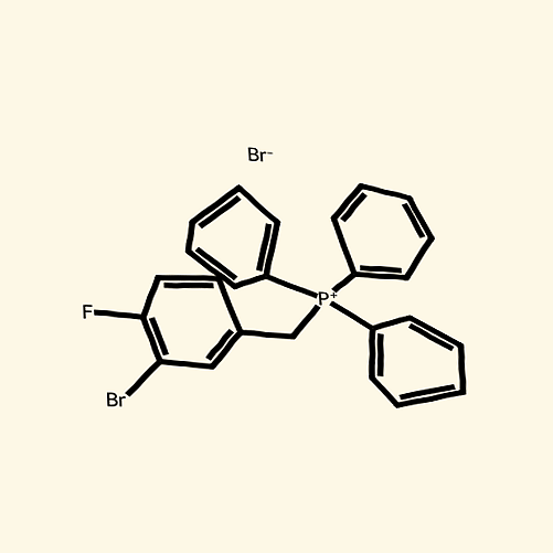 Fc1ccc(C[P+](c2ccccc2)(c2ccccc2)c2ccccc2)cc1Br.[Br-]